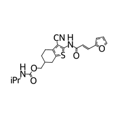 CC(C)NC(=O)OCC1CCc2c(sc(NC(=O)C=Cc3ccco3)c2C#N)C1